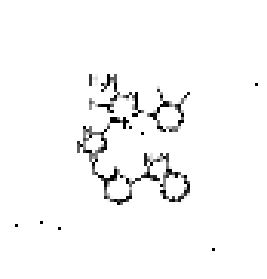 Cc1cccc(-c2nc(N)c(F)c(-c3cn(Cc4cccc(-c5nnc6ccccn56)n4)nn3)n2)c1C